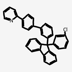 Clc1cccc(C2(c3cccc(-c4ccc(-c5ccccn5)cc4)c3)c3ccccc3-c3ccccc32)c1